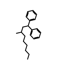 CCCCCCC(C)[CH]C(c1ccccc1)c1ccccc1